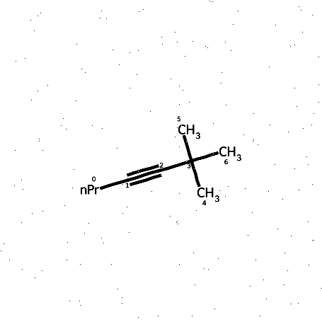 [CH2]CCC#CC(C)(C)C